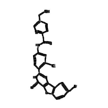 O=C(Nc1ccc(-c2nc3c(oc4ccc(Br)cc43)c(=O)[nH]2)c(Cl)c1)c1ccc(CO)cn1